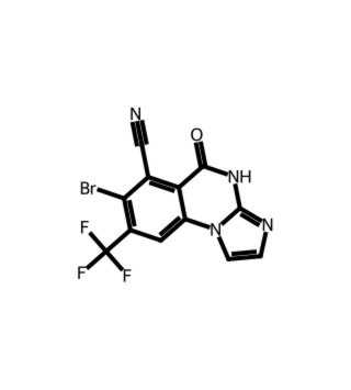 N#Cc1c(Br)c(C(F)(F)F)cc2c1c(=O)[nH]c1nccn12